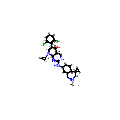 CN1Cc2cc(Nc3ncc4c(=O)c(-c5c(F)cccc5Cl)cn(C5CC5)c4n3)ccc2C2(CC2)C1